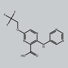 O=C(O)c1nc(OCC(F)(F)F)cnc1Nc1cncnc1